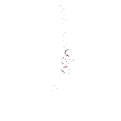 CCCCCCCCCCCCCCCCCCN1C=CN(CCCCCCCCCCCCCCCCCC)C1(Cc1ccccc1)C(CC)c1ccccc1